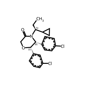 CC[C@@H](C1CC1)N1C(=O)CO[C@@H](c2cccc(Cl)c2)[C@H]1c1ccc(Cl)cc1